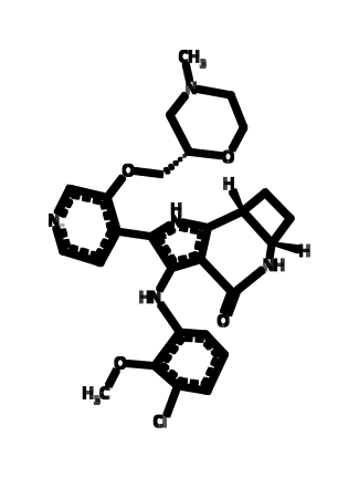 COc1c(Cl)cccc1Nc1c(-c2ccncc2OC[C@@H]2CN(C)CCO2)[nH]c2c1C(=O)N[C@H]1CC[C@@H]21